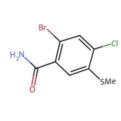 CSc1cc(C(N)=O)c(Br)cc1Cl